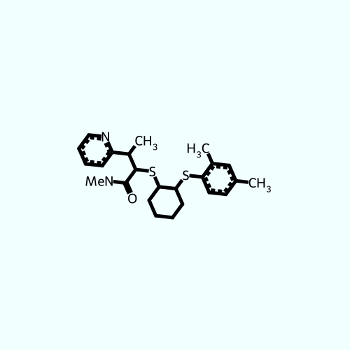 CNC(=O)C(SC1CCCCC1Sc1ccc(C)cc1C)C(C)c1ccccn1